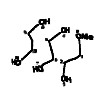 COCCO.OCCO.OCCO